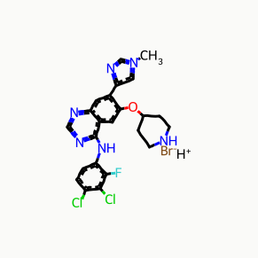 Cn1cnc(-c2cc3ncnc(Nc4ccc(Cl)c(Cl)c4F)c3cc2OC2CCNCC2)c1.[Br-].[H+]